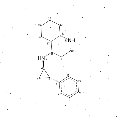 c1ccc([C@@H]2C[C@H]2NC2CCNC3CCCCC32)cc1